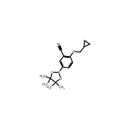 CC1(C)OB(c2ccc(OCC3CC3)c(C#N)c2)OC1(C)C